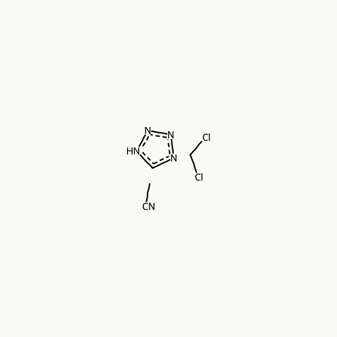 CC#N.ClCCl.c1nnn[nH]1